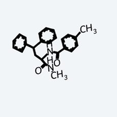 CNC(=O)C(CC(c1ccccc1)c1ccccc1)NC(=O)c1ccc(C)cc1